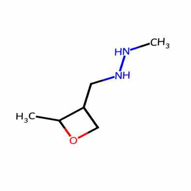 CNNCC1COC1C